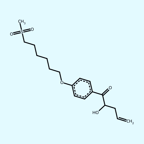 C=CCC(O)C(=O)c1ccc(OCCCCCCS(C)(=O)=O)cc1